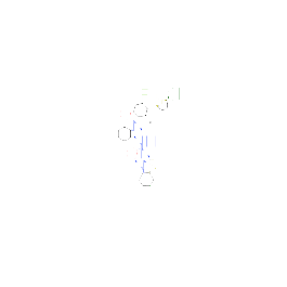 CC1(C)CN(c2ccccc2NC(=O)Nc2nc3ccc(F)cc3s2)c2c(O)cc(F)c(-c3ccc(Cl)s3)c21